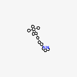 c1ccc(-c2c3c(c(-c4ccccc4)c4ccccc24)-c2ccc(-c4ccc(-c5ccc6cc(-c7ccc8ccc9cccnc9c8n7)ccc6c5)cc4)c4cccc-3c24)cc1